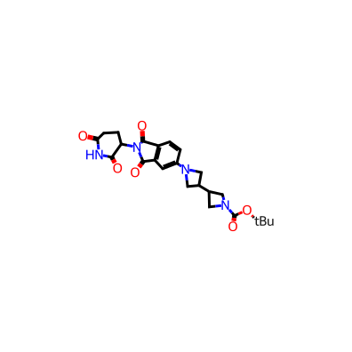 CC(C)(C)OC(=O)N1CC(C2CN(c3ccc4c(c3)C(=O)N(C3CCC(=O)NC3=O)C4=O)C2)C1